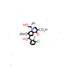 COc1cc2c(cc1C(O)c1cccc(Cl)c1F)c(=O)c(C(=O)O)cn2[C@H](CO)C(C)C